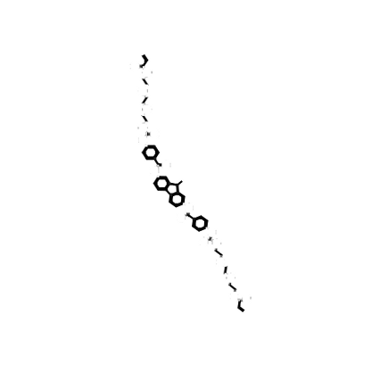 C=CC(=O)OCCOCCOCCOC(=O)Oc1ccc(C(=O)Oc2ccc3c(c2)C(C)c2cc(OC(=O)c4ccc(OC(=O)OCCOCCOCCOC(=O)C=C)cc4)ccc2-3)cc1